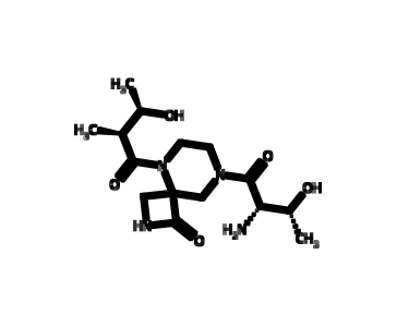 C[C@H](C(=O)N1CCN(C(=O)[C@@H](N)[C@@H](C)O)CC12CNC2=O)[C@@H](C)O